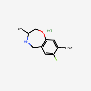 COc1cc2c(cc1F)CNC(C(C)C)CO2.Cl